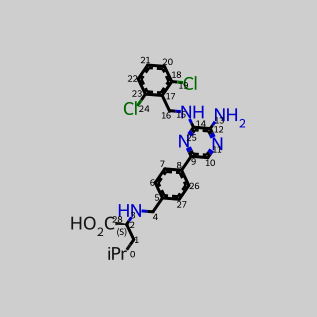 CC(C)C[C@H](NCc1ccc(-c2cnc(N)c(NCc3c(Cl)cccc3Cl)n2)cc1)C(=O)O